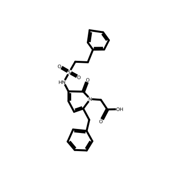 O=C(O)Cn1c(Cc2ccccc2)ccc(NS(=O)(=O)CCc2ccccc2)c1=O